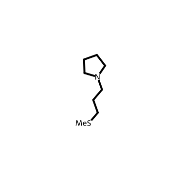 CSCCCN1CCCC1